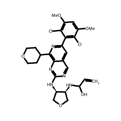 C=CC(O)N[C@H]1COC[C@H]1Nc1ncc2cc(-c3c(Cl)c(OC)cc(OC)c3Cl)nc(C3CCOCC3)c2n1